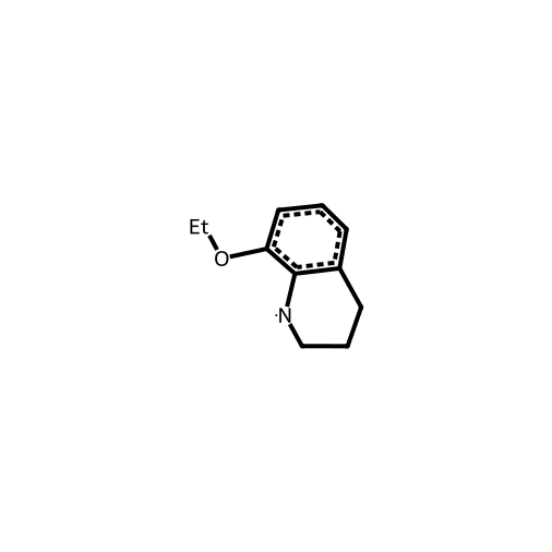 CCOc1cccc2c1[N]CCC2